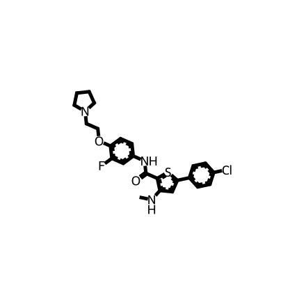 CNc1cc(-c2ccc(Cl)cc2)sc1C(=O)Nc1ccc(OCCN2CCCC2)c(F)c1